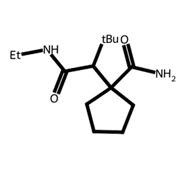 CCNC(=O)C(C(C)(C)C)C1(C(N)=O)CCCC1